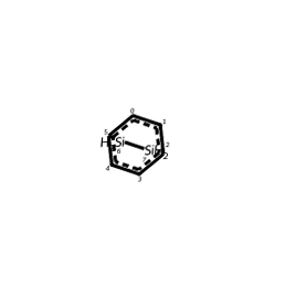 c1cc2ccc1[SiH2][SiH2]2